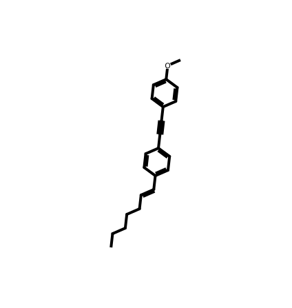 CCCCCC=Cc1ccc(C#Cc2ccc(OC)cc2)cc1